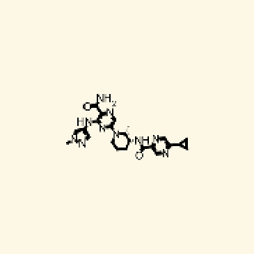 C[C@@H]1[C@H](NC(=O)c2cnc(C3CC3)cn2)CCCN1c1cnc(C(N)=O)c(Nc2cnn(C)c2)n1